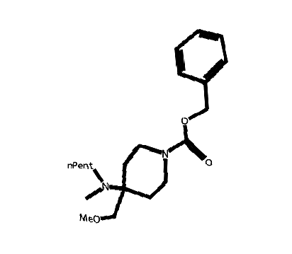 CCCCCN(C)C1(COC)CCN(C(=O)OCc2ccccc2)CC1